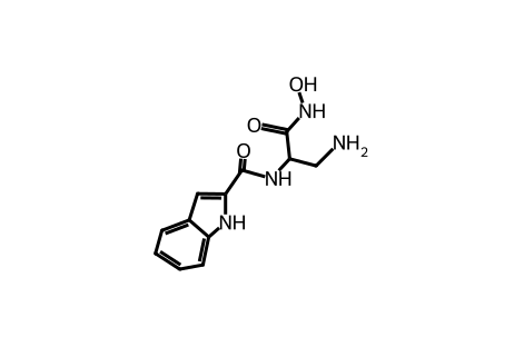 NCC(NC(=O)c1cc2ccccc2[nH]1)C(=O)NO